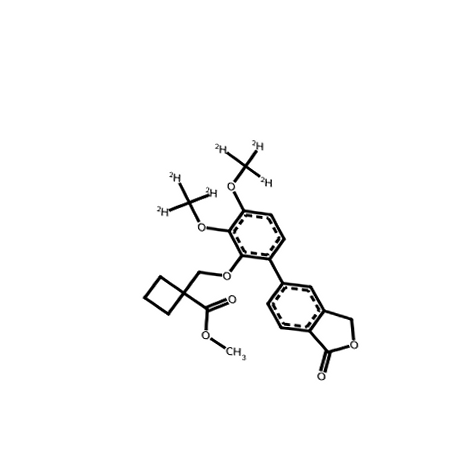 [2H]C([2H])([2H])Oc1ccc(-c2ccc3c(c2)COC3=O)c(OCC2(C(=O)OC)CCC2)c1OC([2H])([2H])[2H]